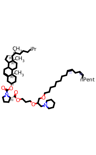 CCCCC/C=C\C/C=C\CCCCCCCCOCC(CN1CCCCC1)OCCCOC(=O)[C@@H]1CCCN1C(=O)O[C@H]1CC[C@@]2(C)C(=CCC3C2CC[C@@]2(C)C3CC[C@@H]2[C@H](C)CCCC(C)C)C1